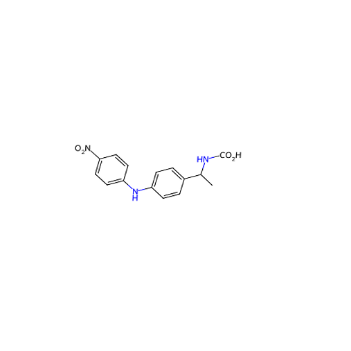 CC(NC(=O)O)c1ccc(Nc2ccc([N+](=O)[O-])cc2)cc1